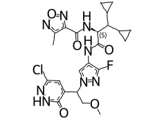 COCC(c1cc(Cl)n[nH]c1=O)n1cc(NC(=O)[C@@H](NC(=O)c2nonc2C)C(C2CC2)C2CC2)c(F)n1